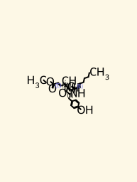 CCCCC/C=C/C(=O)N[C@@H](Cc1ccc(O)cc1)C(=O)N[C@@H](C)/C=C/C(=O)OCC